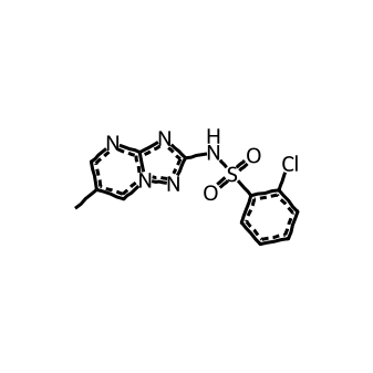 Cc1cnc2nc(NS(=O)(=O)c3ccccc3Cl)nn2c1